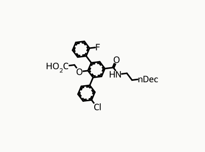 CCCCCCCCCCCCNC(=O)c1cc(-c2cccc(Cl)c2)c(OCC(=O)O)c(-c2ccccc2F)c1